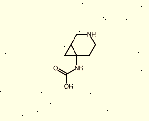 O=C(O)NC12CCNCC1C2